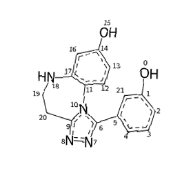 Oc1cccc(-c2nnc3n2-c2ccc(O)cc2NCC3)c1